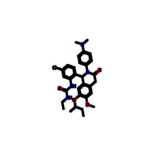 CCNC(=O)Nc1cc(Cl)ccc1C1c2cc(OC(C)CC)c(OC)cc2CC(=O)N1c1ccc(N(C)C)cc1